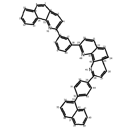 c1cc(-c2ccc3ccc4ccccc4c3n2)cc(-c2ccc3ccc4ccc(-c5ccc(-c6cccc7ccccc67)cc5)nc4c3n2)c1